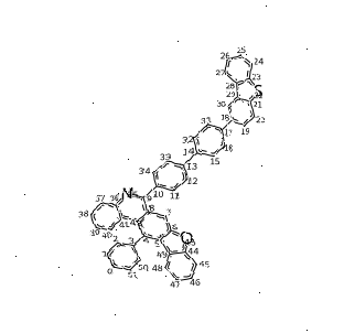 c1ccc(-c2c3c(cc4c(-c5ccc(-c6ccc(-c7ccc8sc9ccccc9c8c7)cc6)cc5)nc5ccccc5c24)oc2ccccc23)cc1